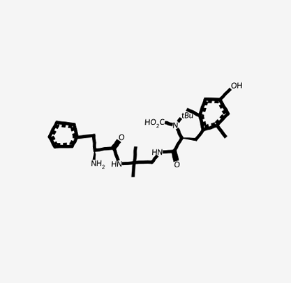 Cc1cc(O)cc(C)c1C[C@@H](C(=O)NCC(C)(C)NC(=O)[C@@H](N)Cc1ccccc1)N(C(=O)O)C(C)(C)C